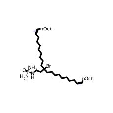 CCCCCCCC/C=C\CCCCCCCCC(Br)(CCCCCCCC/C=C\CCCCCCCC)CCNP(N)(N)=O